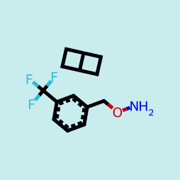 C1CC2CCC12.NOCc1cccc(C(F)(F)F)c1